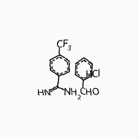 Cl.N=C(N)c1ccc(C(F)(F)F)cc1.O=Cc1ccccc1